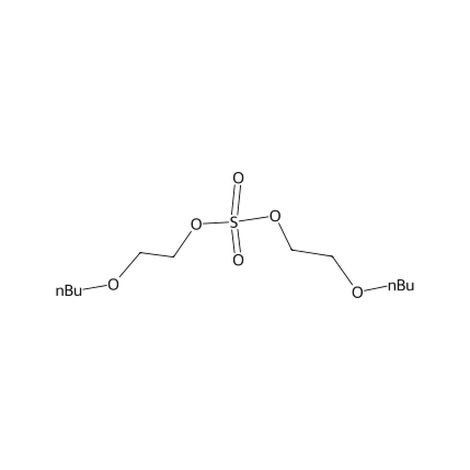 CCCCOCCOS(=O)(=O)OCCOCCCC